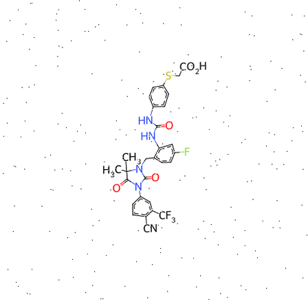 CC1(C)C(=O)N(c2ccc(C#N)c(C(F)(F)F)c2)C(=O)N1Cc1ccc(F)cc1NC(=O)Nc1ccc(SCC(=O)O)cc1